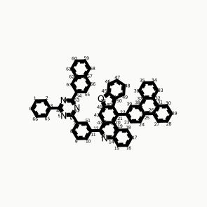 c1ccc(-c2nc(-c3cccc(-c4nc5ccccc5c5c(-c6ccc7c8ccccc8c8ccccc8c7c6)c6c(cc45)oc4ccccc46)c3)nc(-c3ccc4ccccc4c3)n2)cc1